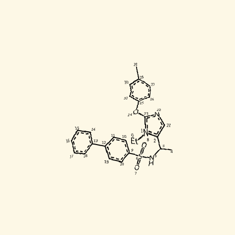 CCn1c(C(C)NS(=O)(=O)c2ccc(-c3ccccc3)cc2)cnc1Oc1ccc(C)cc1